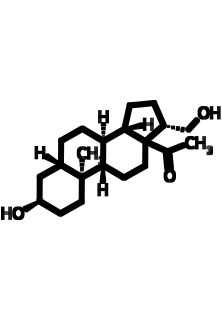 CC(=O)C12CC[C@H]3[C@@H](CC[C@H]4C[C@H](O)CC[C@@]43C)[C@@H]1CC[C@@H]2CO